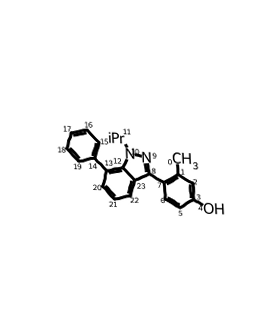 Cc1cc(O)ccc1-c1nn(C(C)C)c2c(-c3ccccc3)cccc12